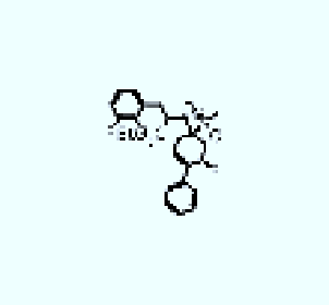 CCOC(=O)C(Cc1cccc(F)c1F)C(=O)C1(S(C)(=O)=O)CC=C(c2ccccc2)C(F)C1